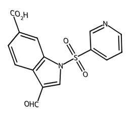 O=Cc1cn(S(=O)(=O)c2cccnc2)c2cc(C(=O)O)ccc12